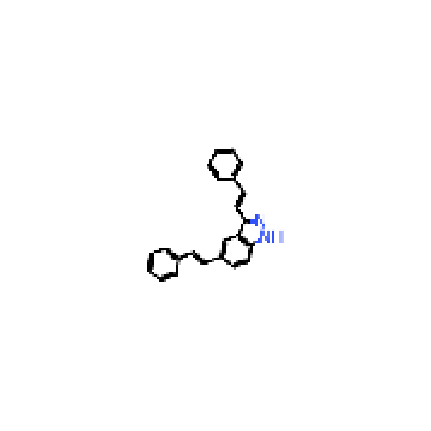 C(=Cc1ccc2[nH]nc(C=Cc3ccccc3)c2c1)c1ccccc1